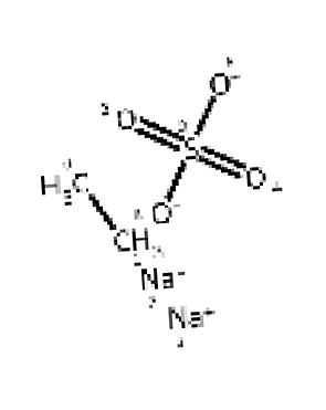 CC.O=S(=O)([O-])[O-].[Na+].[Na+]